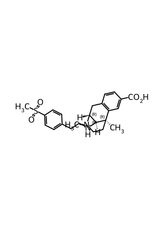 CN1CC[C@]2(C)c3cc(C(=O)O)ccc3C[C@@H]1[C@@H]2NCCc1ccc(S(C)(=O)=O)cc1